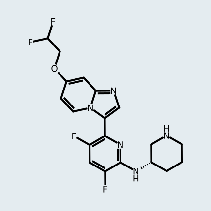 Fc1cc(F)c(-c2cnc3cc(OCC(F)F)ccn23)nc1N[C@H]1CCCNC1